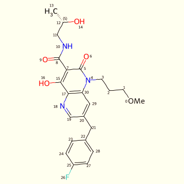 COCCCn1c(=O)c(C(=O)NC[C@H](C)O)c(O)c2ncc(Cc3ccc(F)cc3)cc21